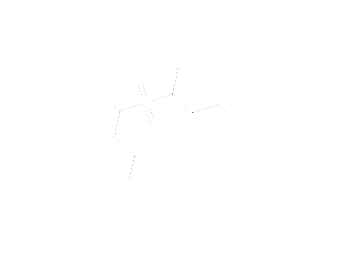 CC(CCCl)S(=O)(=O)C(C)CCCl